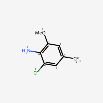 COc1cc(C(F)(F)F)cc(Cl)c1N